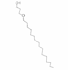 CCCCCCCCCCCCCCCCOCC[CH]O